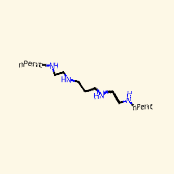 CCCCCNCCNCCCNCCNCCCCC